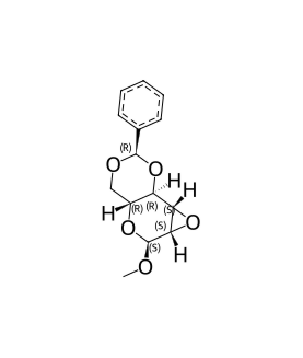 CO[C@H]1O[C@@H]2CO[C@@H](c3ccccc3)O[C@H]2[C@@H]2O[C@H]12